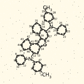 Cc1ccc(N(c2ccccc2)c2cc3sc4cc(N(c5ccccc5)c5ccc(C)cc5)c5ccccc5c4c3c3ccccc23)cc1